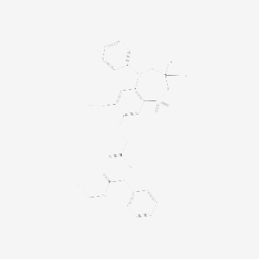 CCCCC1(CCCC)CN(c2ccccc2)c2cc(SC)c(OCC(=O)N[C@@H](C(=O)N[C@H](C(=O)O)C(C)C)c3ccccc3)cc2S(=O)(=O)C1